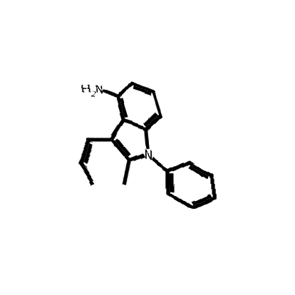 C/C=C\c1c(C)n(-c2ccccc2)c2cccc(N)c12